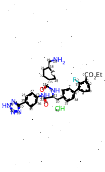 CCOC(=O)c1cccc(-c2ccc(C[C@H](NC(=O)[C@H]3CC[C@H](CN)CC3)C(=O)Nc3ccc(-c4nn[nH]n4)cc3)cc2)c1F.Cl